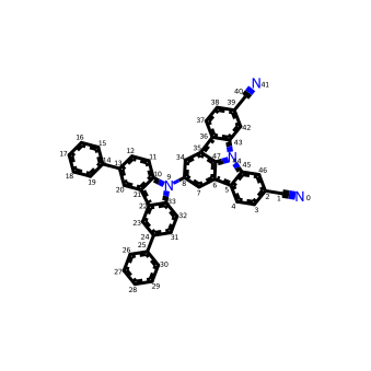 N#Cc1ccc2c3cc(-n4c5ccc(-c6ccccc6)cc5c5cc(-c6ccccc6)ccc54)cc4c5ccc(C#N)cc5n(c2c1)c34